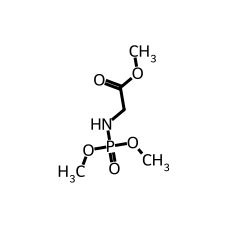 COC(=O)CNP(=O)(OC)OC